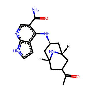 CC(=O)C1C[C@@H]2C[C@@H](Nc3c(C(N)=O)cnc4[nH]ccc34)C[C@H](C1)N2